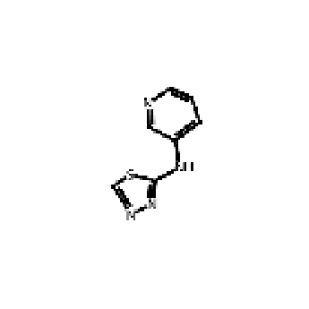 [c]1nnc(Nc2cccnc2)s1